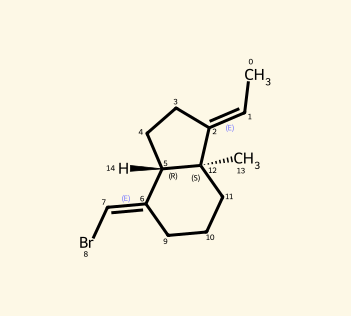 C/C=C1\CC[C@H]2/C(=C/Br)CCC[C@]12C